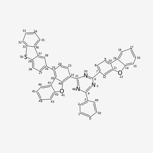 c1ccc(-c2nc(-c3ccc4c(c3)oc3ccccc34)nc(-c3ccc(-c4ccc5sc6ccccc6c5c4)c4c3oc3ccccc34)n2)cc1